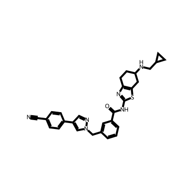 N#Cc1ccc(-c2cnn(Cc3cccc(C(=O)Nc4nc5c(s4)CC(NCC4CC4)CC5)c3)c2)cc1